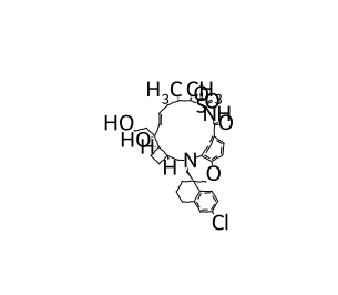 C[C@@H]1[C@@H](C)C/C=C/[C@](O)(CCO)[C@@H]2CC[C@H]2CN2C[C@@]3(CCCc4cc(Cl)ccc43)COc3ccc(cc32)C(=O)NS1(=O)=O